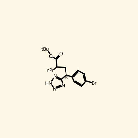 CCCC(C[C@@H](c1ccc(Br)cc1)c1nn[nH]n1)C(=O)OC(C)(C)C